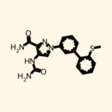 CSc1ccccc1-c1cccc(-n2cc(NC(N)=O)c(C(N)=O)n2)c1